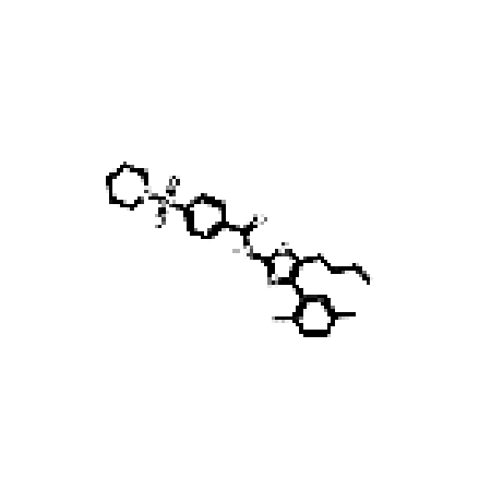 CCCCc1sc(NC(=O)c2ccc(S(=O)(=O)N3CCCCC3)cc2)nc1-c1cc(C)ccc1C